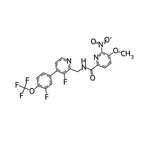 COc1ccc(C(=O)NCc2nccc(-c3ccc(OC(F)(F)F)c(F)c3)c2F)nc1[N+](=O)[O-]